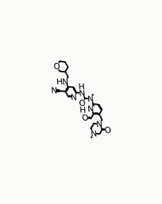 CN1CCN(Cc2ccc(N(C)C(O)Nc3cc(NCC4CCCOC4)c(C#N)cn3)nc2C=O)C(=O)C1